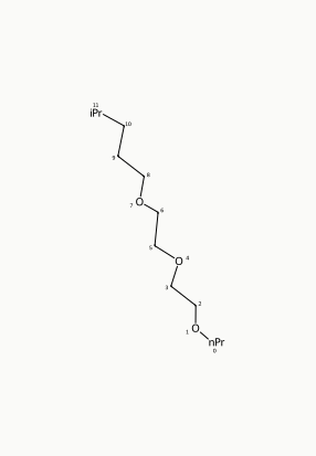 CCCOCCOCCOCCCC(C)C